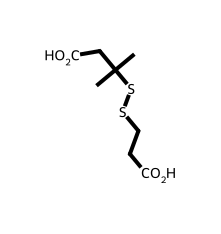 CC(C)(CC(=O)O)SSCCC(=O)O